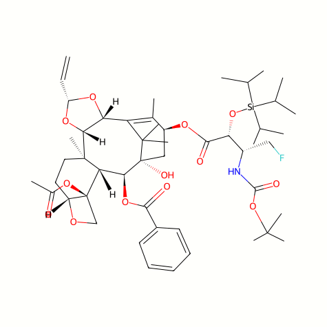 C=C[C@@H]1O[C@@H]2C3=C(C)[C@@H](OC(=O)[C@H](O[Si](C(C)C)(C(C)C)C(C)C)[C@H](CF)NC(=O)OC(C)(C)C)C[C@@](O)([C@@H](OC(=O)c4ccccc4)[C@H]4[C@@](C)(CC[C@H]5OC[C@]54OC(C)=O)[C@@H]2O1)C3(C)C